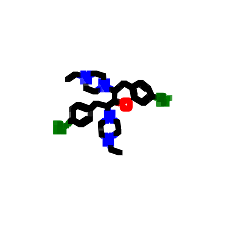 CCN1CCN(C(Cc2ccc(Br)cc2)C(=O)C(Cc2ccc(Br)cc2)N2CCN(CC)CC2)CC1